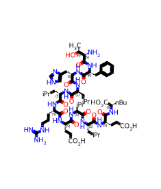 CCCC[C@H](NC(=O)[C@H](CCC(=O)O)NC(=O)[C@H](CC(C)C)NC(=O)[C@@H](NC(=O)[C@H](CCC(=O)O)NC(=O)[C@H](CCCNC(=N)N)NC(=O)[C@H](CC(C)C)NC(=O)[C@H](CC(C)C)NC(=O)[C@H](Cc1c[nH]cn1)NC(=O)[C@@H](Cc1ccccc1)NC(=O)[C@@H](N)[C@@H](C)O)C(C)C)C(=O)O